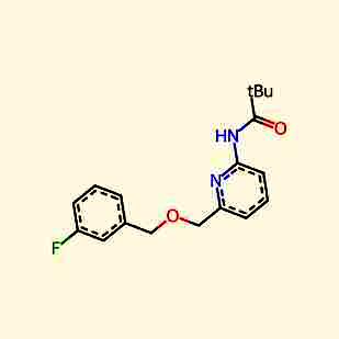 CC(C)(C)C(=O)Nc1cccc(COCc2cccc(F)c2)n1